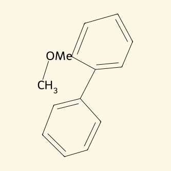 COC.c1ccc(-c2ccccc2)cc1